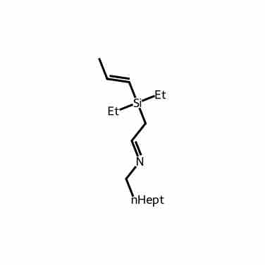 CC=C[Si](CC)(CC)CC=NCCCCCCCC